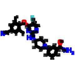 Cc1cc(C#N)cc(C)c1Oc1nc(NC2CCN(c3cccc(C(N)=O)c3)CC2)ncc1F